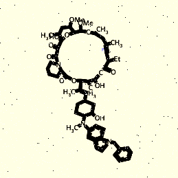 CCC1/C=C(\C)CC(C)CC(OC)C2OC(O)(C(=O)C(=O)N3CCCCC3C(=O)OC(C(C)=CC3CCC(N(C)c4ccc5c(ccn5Cc5ccccc5)c4)C(O)C3)C(C)C(O)CC1=O)C(C)CC2OC